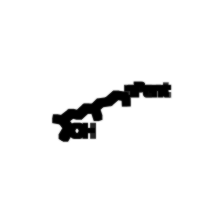 C=C(O)C(C)CC/C=C(\C)CCCC(C)CCCCC